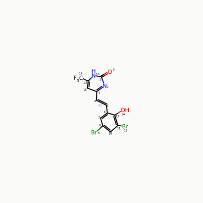 O=c1nc(/C=C/c2cc(Br)cc(Br)c2O)cc(C(F)(F)F)[nH]1